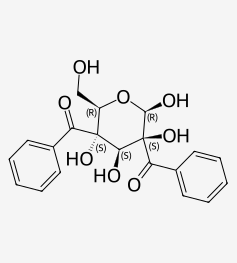 O=C(c1ccccc1)[C@]1(O)[C@@H](O)[C@@](O)(C(=O)c2ccccc2)[C@@H](CO)O[C@H]1O